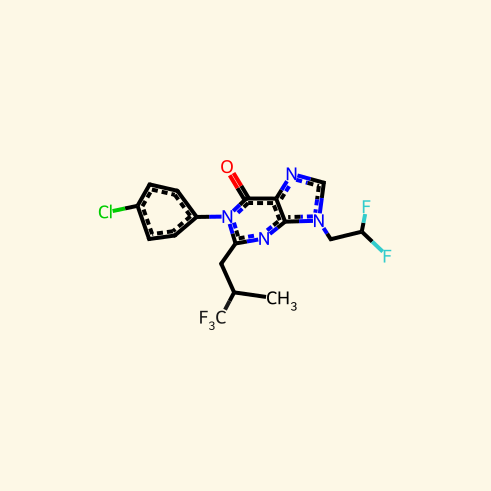 CC(Cc1nc2c(ncn2CC(F)F)c(=O)n1-c1ccc(Cl)cc1)C(F)(F)F